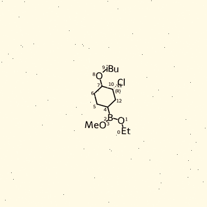 CCOB(OC)C1CCC(OC(C)CC)[C@H](Cl)C1